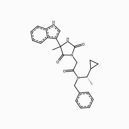 C[C@@H](C1CC1)N(Cc1ccccc1)C(=O)CN1C(=O)NC(C)(c2c[nH]c3ccccc23)C1=O